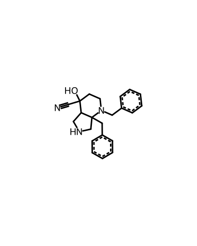 N#CC1(O)CCN(Cc2ccccc2)C2(Cc3ccccc3)CNCC12